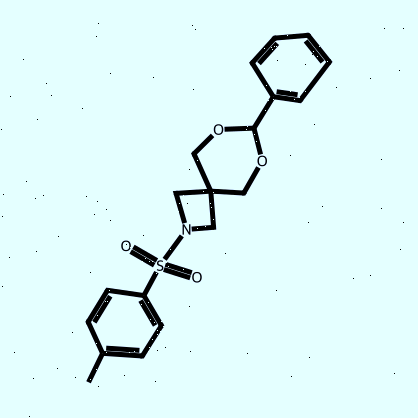 Cc1ccc(S(=O)(=O)N2CC3(COC(c4ccccc4)OC3)C2)cc1